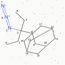 CCC(CC)(N=[N+]=[N-])C12CC3CC(CC(C3)C1)C2